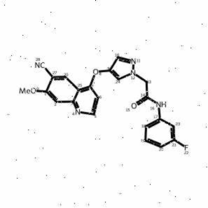 COc1cc2nccc(Oc3cnn(CC(=O)Nc4cccc(F)c4)c3)c2cc1C#N